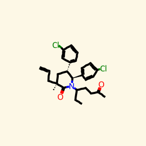 C=CC[C@@]1(C)C[C@H](c2cccc(Cl)c2)[C@@H](c2ccc(Cl)cc2)N(C(CC)CCC(C)=O)C1=O